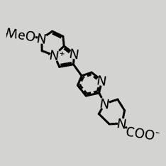 CON1C=CC2=NC(c3ccc(N4CCN(C(=O)[O-])CC4)nc3)=C[N+]2C1